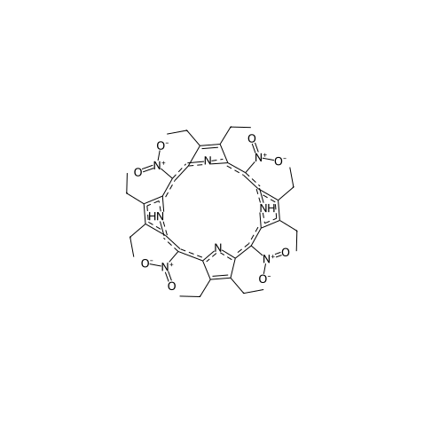 CCC1=C(CC)c2nc1c([N+](=O)[O-])c1[nH]c(c(CC)c1CC)c([N+](=O)[O-])c1nc(c([N+](=O)[O-])c3[nH]c(c(CC)c3CC)c2[N+](=O)[O-])C(CC)=C1CC